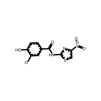 O=C(Nc1nc([SH](=O)=O)cs1)c1ccc(O)c(Cl)c1